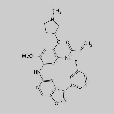 C=CC(=O)Nc1cc(Nc2ncc3onc(-c4cccc(F)c4)c3n2)c(OC)cc1OC1CCN(C)C1